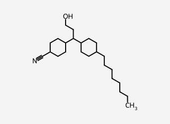 CCCCCCCCC1CCC(C(CCO)C2CCC(C#N)CC2)CC1